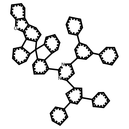 c1ccc(-c2cc(-c3ccccc3)cc(-c3cc(-c4cc(-c5ccccc5)cc(-c5ccccc5)c4)nc(-c4cccc5c4-c4ccccc4C54c5ccccc5-c5c4ccc4c5oc5ccccc54)n3)c2)cc1